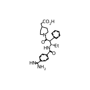 CC[C@@H](NC(=O)c1ccc(C(=N)N)cc1)C(C(=O)N1CCC(CC(=O)O)CC1)c1ccccc1